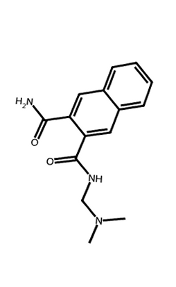 CN(C)CNC(=O)c1cc2ccccc2cc1C(N)=O